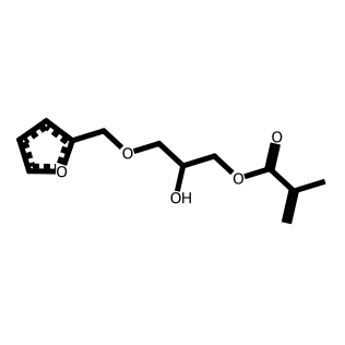 C=C(C)C(=O)OCC(O)COCc1ccco1